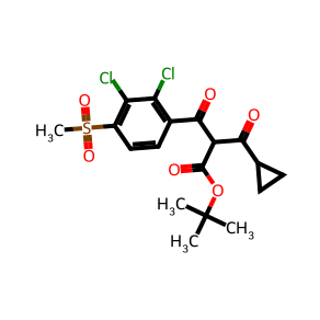 CC(C)(C)OC(=O)C(C(=O)c1ccc(S(C)(=O)=O)c(Cl)c1Cl)C(=O)C1CC1